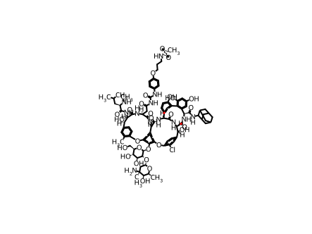 CN[C@H](CC(C)C)C(=O)N[C@H]1C(=O)N[C@@H](CC(=O)NC(=O)Nc2ccc(OCCCNS(C)(=O)=O)cc2)C(=O)N[C@H]2C(=O)N[C@H]3C(=O)N[C@H](C(=O)N[C@H](C(=O)NC4C5CC6CC(C5)CC4C6)c4cc(O)cc(O)c4-c4cc3ccc4O)[C@H](O)c3ccc(c(Cl)c3)Oc3cc2cc(c3O[C@@H]2O[C@H](CO)[C@@H](O)[C@H](O)[C@H]2O[C@H]2C[C@](C)(N)[C@H](O)[C@H](C)O2)Oc2ccc(cc2C)[C@H]1O